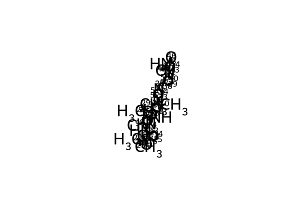 Cc1cc(Nc2ncc(Cl)c(Nc3ccccc3S(=O)(=O)C(C)C)n2)c(OC(C)C)cc1N1CCN(Cc2cccc(N3CCC(=O)NC3=O)c2)CC1